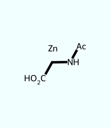 CC(=O)NCC(=O)O.[Zn]